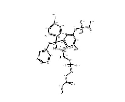 COC(=O)CCC(F)(F)CNC(=O)NC(Cc1ccccc1)(c1cc(F)cc(OC(F)(F)C(F)F)c1)c1ccc(Cl)cn1